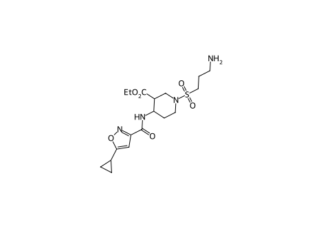 CCOC(=O)C1CN(S(=O)(=O)CCCN)CCC1NC(=O)c1cc(C2CC2)on1